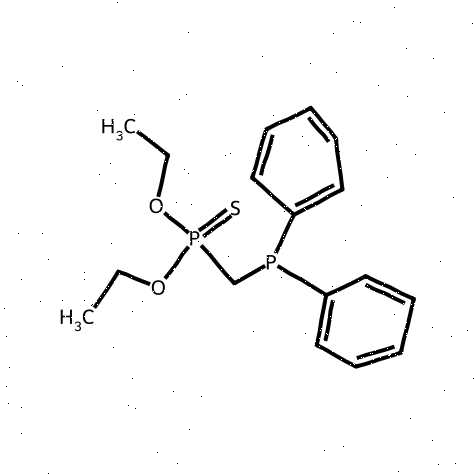 CCOP(=S)(CP(c1ccccc1)c1ccccc1)OCC